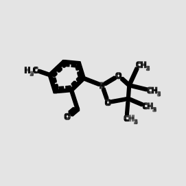 Cc1ccc(B2OC(C)(C)C(C)(C)O2)c(C=O)c1